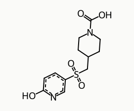 O=C(O)N1CCC(CS(=O)(=O)c2ccc(O)nc2)CC1